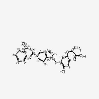 CC(Oc1ccc(Cl)c(Cn2nnc3cc(C(=O)N[C@H](C)c4ccccc4)ccc32)c1)C(=O)O